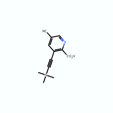 C[Si](C)(C)C#Cc1cc(C#N)cnc1C(=O)O